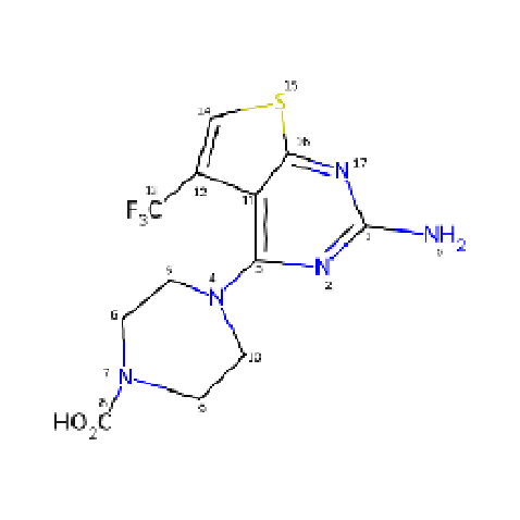 Nc1nc(N2CCN(C(=O)O)CC2)c2c(C(F)(F)F)csc2n1